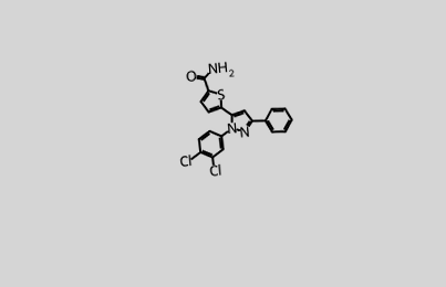 NC(=O)c1ccc(-c2cc(-c3ccccc3)nn2-c2ccc(Cl)c(Cl)c2)s1